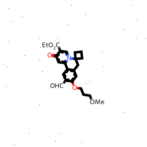 CCOC(=O)c1cn2c(cc1=O)-c1cc(C=O)c(OCCCOC)cc1CC21CCC1